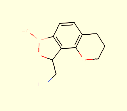 NCC1OB(O)c2ccc3c(c21)OCCC3